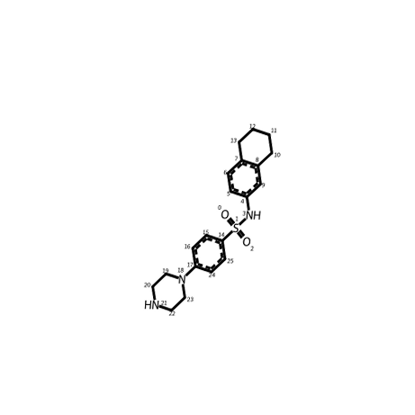 O=S(=O)(Nc1ccc2c(c1)CCCC2)c1ccc(N2CCNCC2)cc1